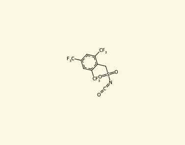 O=C=NS(=O)(=O)Cc1c(C(F)(F)F)cc(C(F)(F)F)cc1C(F)(F)F